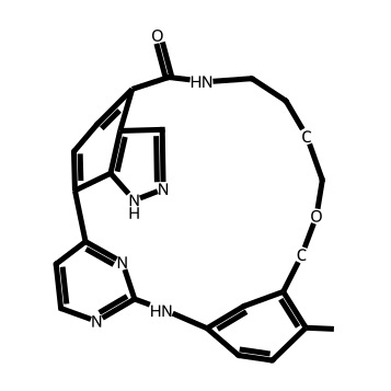 Cc1ccc2cc1COCCCCNC(=O)c1ccc(c3[nH]ncc13)-c1ccnc(n1)N2